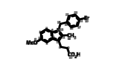 COc1ccc2c(c1)c(CCC(=O)O)c(C)n2Cc1ccc(Br)cc1